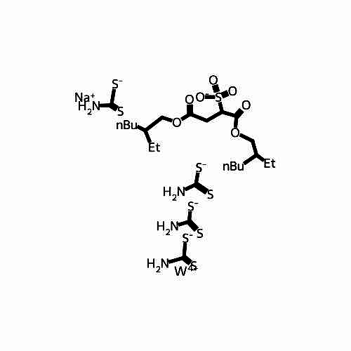 CCCCC(CC)COC(=O)CC(C(=O)OCC(CC)CCCC)S(=O)(=O)[O-].NC(=S)[S-].NC(=S)[S-].NC(=S)[S-].NC(=S)[S-].[Na+].[W+4]